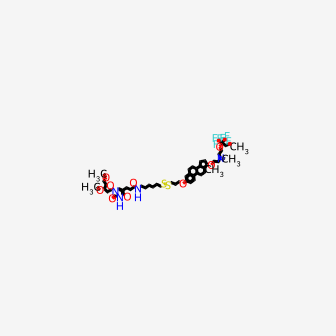 CCCC(OCCN(C)CCOC1CCC2C3CCc4cc(OCCCSSCCCCCCNC(=O)CCc5cn(C6CC(OC)C(COC)O6)c(=O)[nH]c5=O)ccc4C3CCC12C)(C(F)(F)F)C(F)(F)F